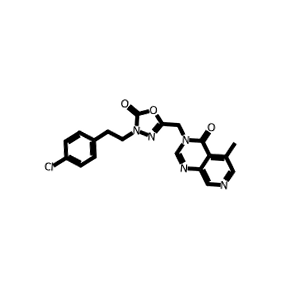 Cc1cncc2ncn(Cc3nn(CCc4ccc(Cl)cc4)c(=O)o3)c(=O)c12